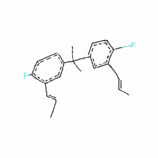 CC=Cc1cc(C(C)(C)c2ccc(F)c(C=CC)c2)ccc1F